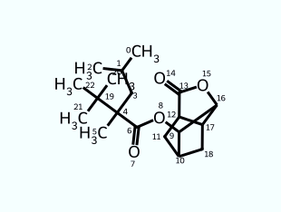 CC(C)CC(C)(C(=O)OC1C2CC3C(=O)OC1C3C2)C(C)(C)C